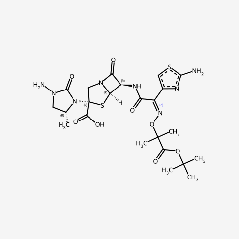 C[C@@H]1CN(N)C(=O)N1[C@]1(C(=O)O)CN2C(=O)[C@@H](NC(=O)/C(=N\OC(C)(C)C(=O)OC(C)(C)C)c3csc(N)n3)[C@H]2S1